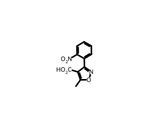 Cc1onc(-c2ccccc2[N+](=O)[O-])c1C(=O)O